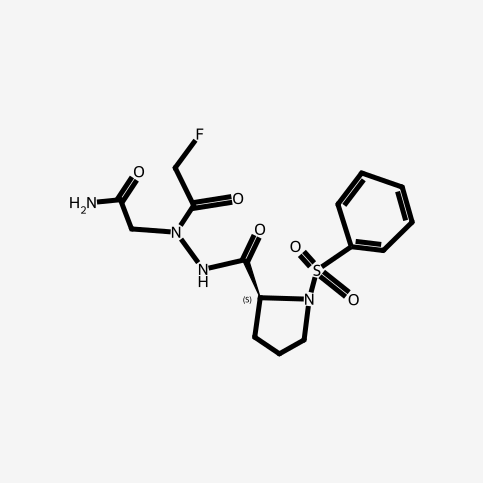 NC(=O)CN(NC(=O)[C@@H]1CCCN1S(=O)(=O)c1ccccc1)C(=O)CF